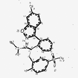 CC(C)(C)[S+]([O-])N[C@@H](Cc1nc(S(C)(=O)=O)ccc1F)c1ccccc1-c1noc2cc(C(F)(F)F)ccc12